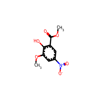 COC(=O)c1cc([N+](=O)[O-])cc(OC)c1O